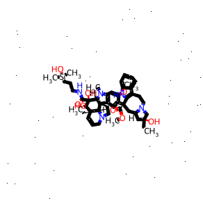 CC[C@]1(O)C[C@H]2C[C@](C(=O)OC)(c3cc4c(cc3OC)N(C)[C@H]3[C@@](O)(C(=O)NCCC[Si](C)(C)O)[C@H](O)[C@]5(CC)C=CCN6CC[C@]43[C@@H]65)c3[nH]c4ccccc4c3CCN2C1